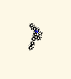 C=C/C(=C1/C=CC=CC1)N(c1ccc(-c2ccccc2)cc1)c1ccc(-c2ccc(-c3ccc(-c4ccccc4)cc3)cc2)c(-c2ccccc2)c1